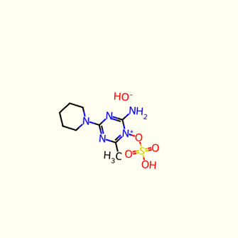 Cc1nc(N2CCCCC2)nc(N)[n+]1OS(=O)(=O)O.[OH-]